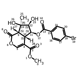 COC(=O)C1=COC(=O)[C@H]2[C@@H]1[C@H](OC(=O)c1ccc(Br)cc1)[C@H](O)[C@]2(C)O